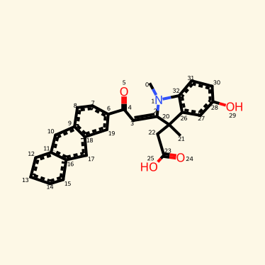 CN1/C(=C\C(=O)c2ccc3cc4ccccc4cc3c2)C(C)(CC(=O)O)c2cc(O)ccc21